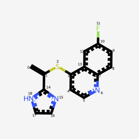 C=C(Sc1ccnc2ccc(F)cc12)c1ncc[nH]1